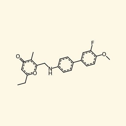 CCc1cc(=O)c(C)c(CNc2ccc(-c3ccc(OC)c(F)c3)cc2)o1